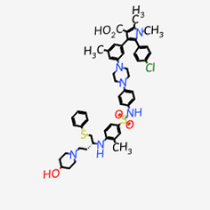 Cc1cc(-c2c(C(=O)O)c(C)n(C)c2-c2ccc(Cl)cc2)cc(N2CCN(c3ccc(NS(=O)(=O)c4ccc(N[C@H](CCN5CCC(O)CC5)CSc5ccccc5)c(C)c4)cc3)CC2)c1